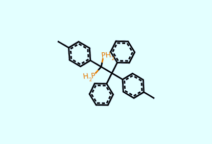 Cc1ccc(C(P)(P)C(c2ccccc2)(c2ccccc2)c2ccc(C)cc2)cc1